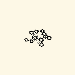 c1ccc(-c2cccc(-c3nc(-c4cc(-n5c6ccccc6c6cc7ccccc7cc65)cc5c4oc4ccccc45)nc(-n4c5ccccc5c5ccccc54)n3)c2)cc1